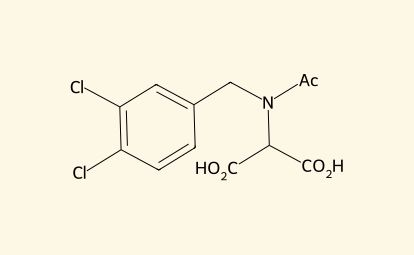 CC(=O)N(Cc1ccc(Cl)c(Cl)c1)C(C(=O)O)C(=O)O